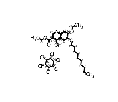 CCCCCCCCCCOc1cc2c(O)c(C(=O)OCC)cnc2cc1OCC.Cl[C@H]1[C@H](Cl)[C@@H](Cl)[C@@H](Cl)[C@H](Cl)[C@H]1Cl